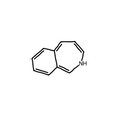 [c]1ccc2c(c1)=CC=CNC=2